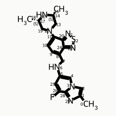 Cc1cn2cc(NCc3ccc(N4C[C@H](C)N[C@@H](C)C4)c4nsnc34)cc(F)c2n1